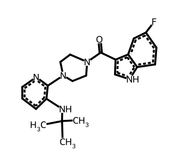 CC(C)(C)Nc1cccnc1N1CCN(C(=O)c2c[nH]c3ccc(F)cc23)CC1